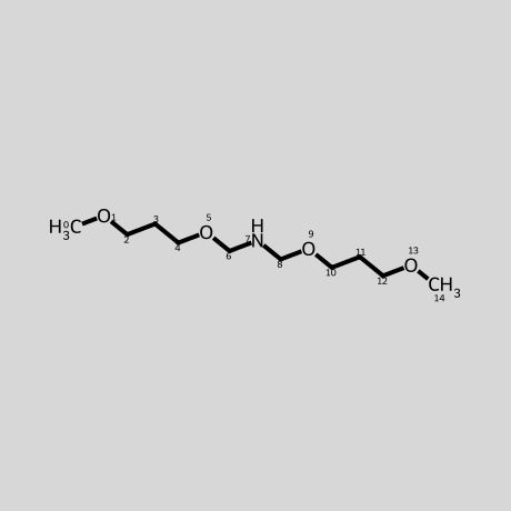 COCCCOCNCOCCCOC